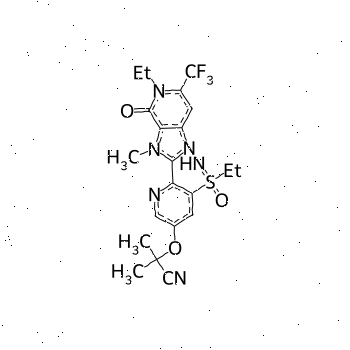 CCn1c(C(F)(F)F)cc2nc(-c3ncc(OC(C)(C)C#N)cc3S(=N)(=O)CC)n(C)c2c1=O